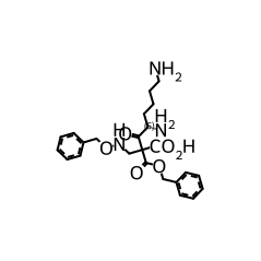 NCCCC[C@H](N)C(=O)C(CNOCc1ccccc1)(C(=O)O)C(=O)OCc1ccccc1